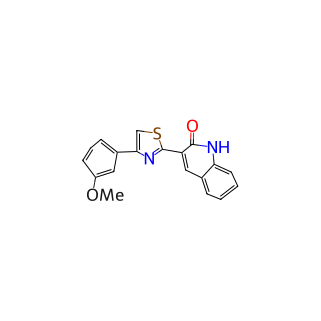 COc1cccc(-c2csc(-c3cc4ccccc4[nH]c3=O)n2)c1